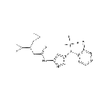 O=C(CC(C1CC1)C1CC1)Nc1cn(C(c2ccc[nH]c2=O)C(F)(F)F)cn1